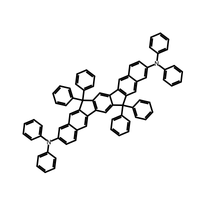 c1ccc(N(c2ccccc2)c2ccc3cc4c(cc3c2)C(c2ccccc2)(c2ccccc2)c2cc3c(cc2-4)C(c2ccccc2)(c2ccccc2)c2cc4cc(N(c5ccccc5)c5ccccc5)ccc4cc2-3)cc1